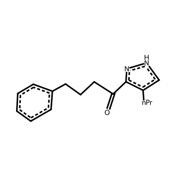 CCCc1c[nH]nc1C(=O)CCCc1ccccc1